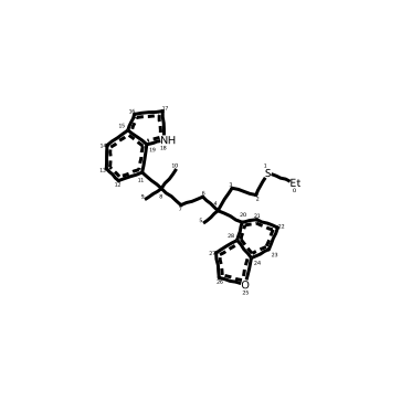 CCSCCC(C)(CCC(C)(C)c1cccc2cc[nH]c12)c1cccc2occc12